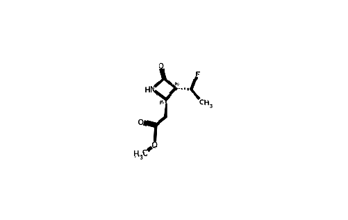 COC(=O)C[C@H]1NC(=O)[C@@H]1C(C)F